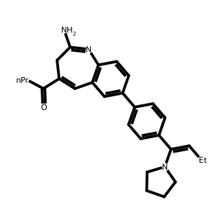 CC/C=C(/c1ccc(-c2ccc3c(c2)C=C(C(=O)CCC)CC(N)=N3)cc1)N1CCCC1